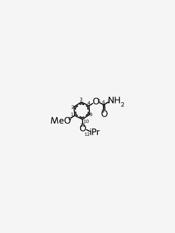 COc1ccc(OC(N)=O)cc1OC(C)C